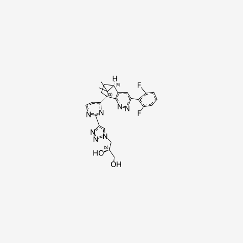 CC1(C)[C@H]2CC[C@]1(c1ccnc(-c3cn(C[C@H](O)CO)nn3)n1)c1nnc(-c3c(F)cccc3F)cc12